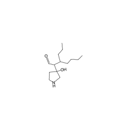 CCCCC(CCC)C(C=O)C1(O)CCNC1